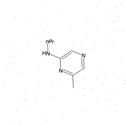 CCCNc1cncc(C)n1